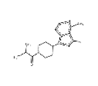 CC(C)C(=O)N1CCC(n2nc(I)c3c(N)ncnc32)CC1